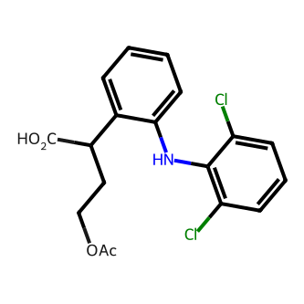 CC(=O)OCCC(C(=O)O)c1ccccc1Nc1c(Cl)cccc1Cl